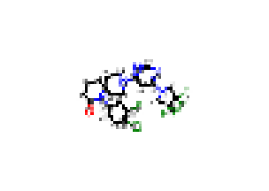 O=C1CCCC2(CCN(c3cc(N4CC(F)(F)C(F)(F)C4)ncn3)CC2)N1c1ccc(Cl)c(F)c1